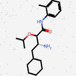 Cc1ccccc1NC(=O)C(OC(C)C)[C@H](N)CC1CCCCC1